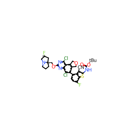 CC(C)(C)OC(=O)Nc1sc2c(F)ccc(-c3c4c(c5c(Cl)nc(OC[C@@]67CCCN6C[C@H](F)C7)nc5c3Cl)COC4)c2c1C#N